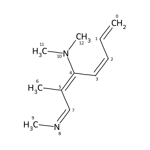 C=C\C=C/C(=C(C)\C=N/C)N(C)C